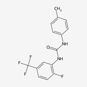 Cc1ccc(NC(=O)Nc2cc(C(F)(F)F)ccc2F)cc1